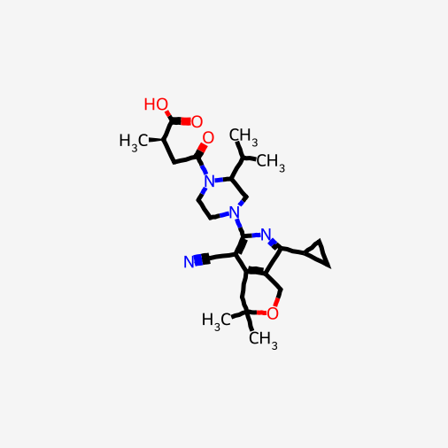 CC(C)C1CN(c2nc(C3CC3)c3c(c2C#N)CC(C)(C)OC3)CCN1C(=O)C[C@@H](C)C(=O)O